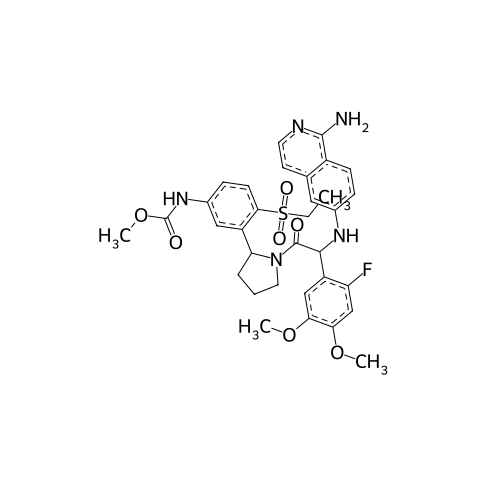 CCS(=O)(=O)c1ccc(NC(=O)OC)cc1C1CCCN1C(=O)C(Nc1ccc2c(N)nccc2c1)c1cc(OC)c(OC)cc1F